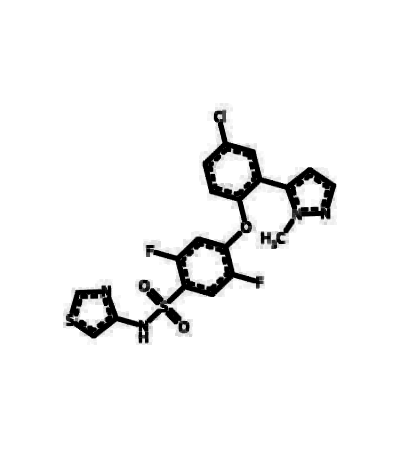 Cn1nccc1-c1cc(Cl)ccc1Oc1cc(F)c(S(=O)(=O)Nc2cscn2)cc1F